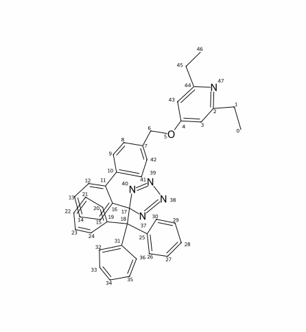 CCc1cc(OCc2ccc(-c3ccccc3C3(C(c4ccccc4)(c4ccccc4)c4ccccc4)N=NN=N3)cc2)cc(CC)n1